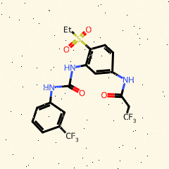 CCS(=O)(=O)c1ccc(NC(=O)CC(F)(F)F)cc1NC(=O)Nc1cccc(C(F)(F)F)c1